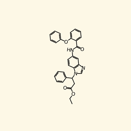 CCOC(=O)CC(c1ccccc1)n1cnc2cc(NC(=O)c3ccccc3Oc3ccccc3)ccc21